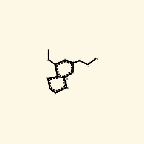 CCCc1cc(CC)c2ccccc2c1